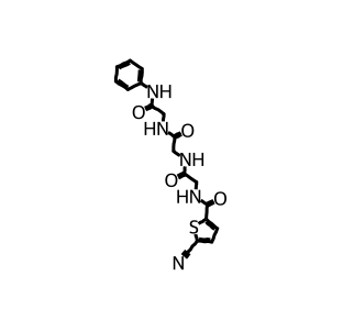 N#Cc1ccc(C(=O)NCC(=O)NCC(=O)NCC(=O)Nc2ccccc2)s1